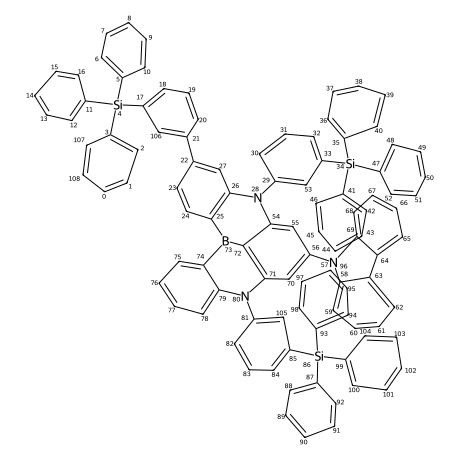 c1ccc([Si](c2ccccc2)(c2ccccc2)c2cccc(-c3ccc4c(c3)N(c3cccc([Si](c5ccccc5)(c5ccccc5)c5ccccc5)c3)c3cc(-n5c6ccccc6c6ccccc65)cc5c3B4c3ccccc3N5c3cccc([Si](c4ccccc4)(c4ccccc4)c4ccccc4)c3)c2)cc1